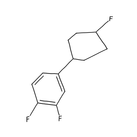 Fc1ccc(C2CCC(F)CC2)cc1F